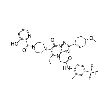 CCc1c(N2CCN(C(=O)c3ncccc3O)CC2)c(=O)n2nc(C3=CCC(OC)CC3)nc2n1CC(=O)Nc1ccc(C(F)(F)F)cc1C